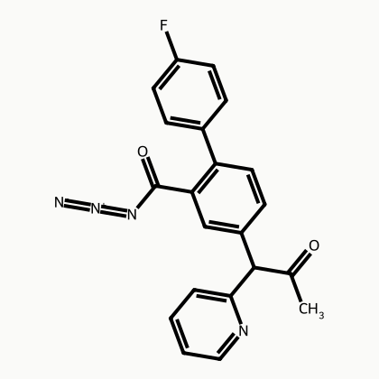 CC(=O)C(c1ccc(-c2ccc(F)cc2)c(C(=O)N=[N+]=[N-])c1)c1ccccn1